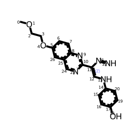 COCCOc1ccc2nc(/C(=C/Nc3ccc(O)cc3)N=N)ncc2c1